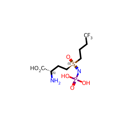 N[C@@H](CC[S@@](=O)(CCCC(F)(F)F)=NP(=O)(O)O)C(=O)O